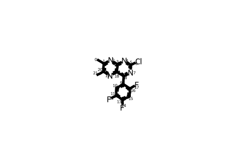 Cc1nc2nc(Cl)nc(-c3cc(F)c(F)cc3F)c2nc1C